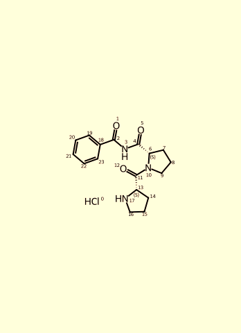 Cl.O=C(NC(=O)[C@@H]1CCCN1C(=O)[C@@H]1CCCN1)c1ccccc1